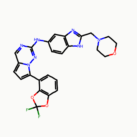 FC1(F)Oc2cccc(-c3ccc4cnc(Nc5ccc6[nH]c(CN7CCOCC7)nc6c5)nn34)c2O1